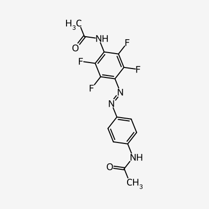 CC(=O)Nc1ccc(N=Nc2c(F)c(F)c(NC(C)=O)c(F)c2F)cc1